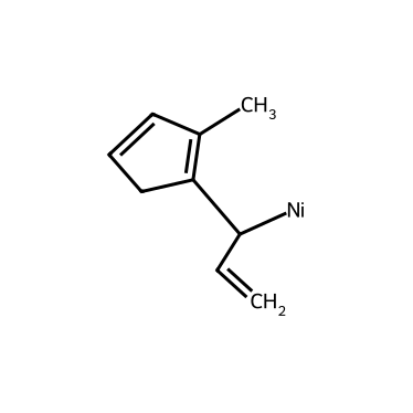 C=C[CH]([Ni])C1=C(C)C=CC1